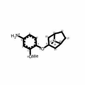 COc1cc(N)ccc1OC1CC2CCC(C1)N2C